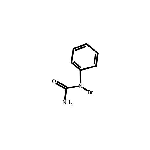 NC(=O)N(Br)c1ccccc1